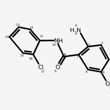 Nc1ccc(O)cc1C(=O)Nc1ccccc1Cl